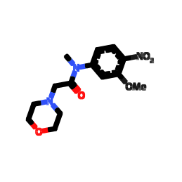 COc1cc(N(C)C(=O)CN2CCOCC2)ccc1[N+](=O)[O-]